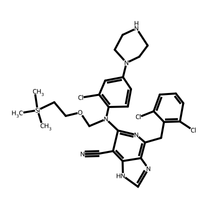 C[Si](C)(C)CCOCN(c1ccc(N2CCNCC2)cc1Cl)c1nc(Cc2c(Cl)cccc2Cl)c2nc[nH]c2c1C#N